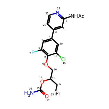 CC(=O)Nc1cc(-c2cc(F)c(OCC(CC(C)C)OC(N)=O)c(Cl)c2)ccn1